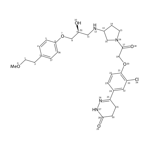 COCCc1ccc(OC[C@@H](O)CNC2CCN(C(=O)COc3ccc(C4=NNC(=O)CC4)cc3Cl)C2)cc1